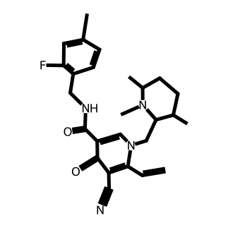 C=Cc1c(C#N)c(=O)c(C(=O)NCc2ccc(C)cc2F)cn1CC1C(C)CCC(C)N1C